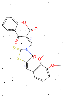 COc1cccc(/C=C2/SC(=S)N(/C=C3/C(=O)Oc4ccccc4C3=O)C2=O)c1OC